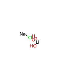 O.[Li+].[Na][Cl].[OH-]